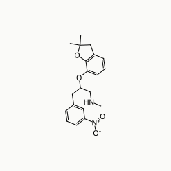 CNCC(Cc1cccc([N+](=O)[O-])c1)Oc1cccc2c1OC(C)(C)C2